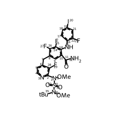 CON(c1nccc(Cc2cc(C(N)=O)c(Nc3ccc(I)cc3F)c(F)c2F)c1F)S(=O)(=O)N(OC)C(C)(C)C